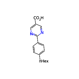 CCCCCCc1ccc(-c2ncc(C(=O)O)cn2)cc1